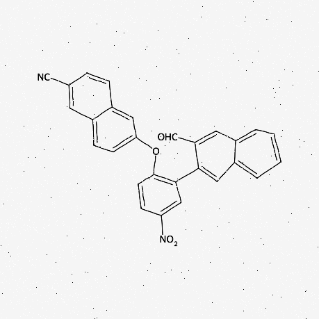 N#Cc1ccc2cc(Oc3ccc([N+](=O)[O-])cc3-c3cc4ccccc4cc3C=O)ccc2c1